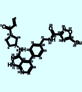 C=CC(=O)N1CC[C@@H](Nc2n[nH]c3nccc(-c4ccc(CNC(=O)c5noc(C(C)(C)C)n5)cc4)c23)C1